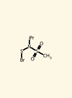 CC(C)N(SBr)S(C)(=O)=O